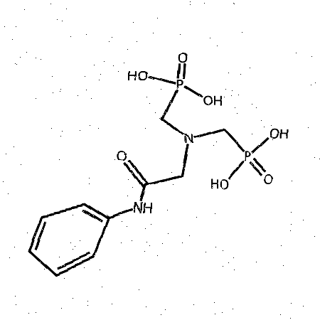 O=C(CN(CP(=O)(O)O)CP(=O)(O)O)Nc1ccccc1